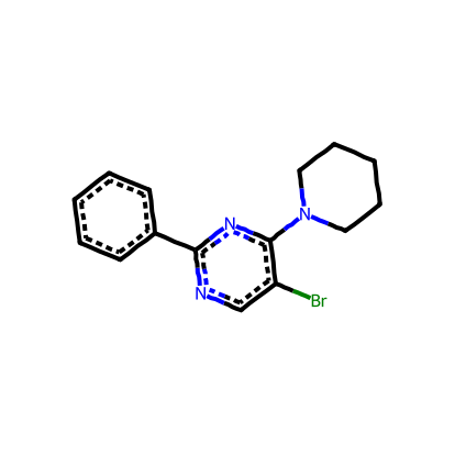 Brc1cnc(-c2ccccc2)nc1N1CCCCC1